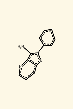 Nc1c2ncccc2nn1-c1ccccc1